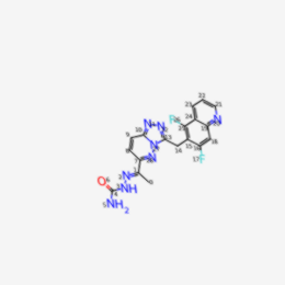 C/C(=N\NC(N)=O)c1ccc2nnc(Cc3c(F)cc4ncccc4c3F)n2n1